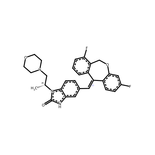 C[C@H](CN1CCOCC1)n1c(=O)[nH]c2cc(/C=C3/c4ccc(F)cc4OCc4c(F)cccc43)ccc21